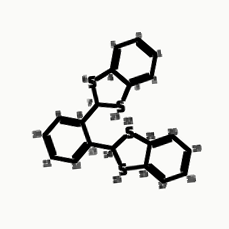 c1ccc2c(c1)SC(c1ccccc1C1Sc3ccccc3S1)S2